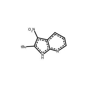 CC(C)(C)c1[nH]c2ncccc2c1[N+](=O)[O-]